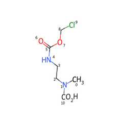 CN(CCNC(=O)OCCl)C(=O)O